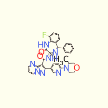 CC1COCCN1c1ccc(-c2nn3cccnc3c2C(=O)N[C@H]2N=C(c3ccccc3)c3cccc(F)c3NC2=O)cn1